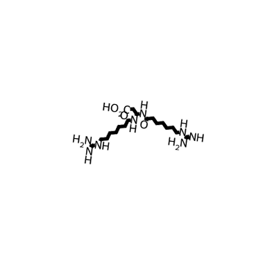 N=C(N)NCCCCCCC(=O)NC(CC(=O)O)NC(=O)CCCCCCNC(=N)N